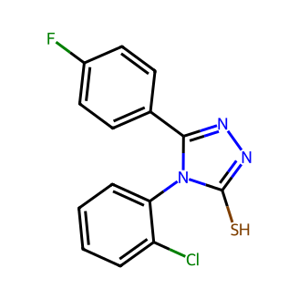 Fc1ccc(-c2nnc(S)n2-c2ccccc2Cl)cc1